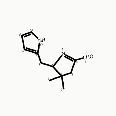 CC1(C)CC(C=O)=NC1Cc1ccc[nH]1